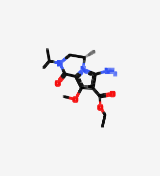 CCOC(=O)c1c(OC)c2n(c1N)[C@@H](C)CN(C(C)C)C2=O